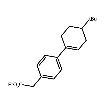 CCOC(=O)Cc1ccc(C2=CCC(C(C)(C)C)CC2)cc1